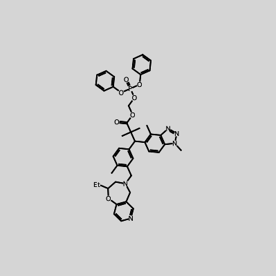 CCC1CN(Cc2cc(C(c3ccc4c(nnn4C)c3C)C(C)(C)C(=O)OCOP(=O)(Oc3ccccc3)Oc3ccccc3)ccc2C)Cc2cnccc2O1